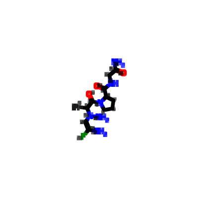 CC(C)C(C(=O)N1CCCC1C(=O)NCC(N)=O)N(N)/C=C(\N)F